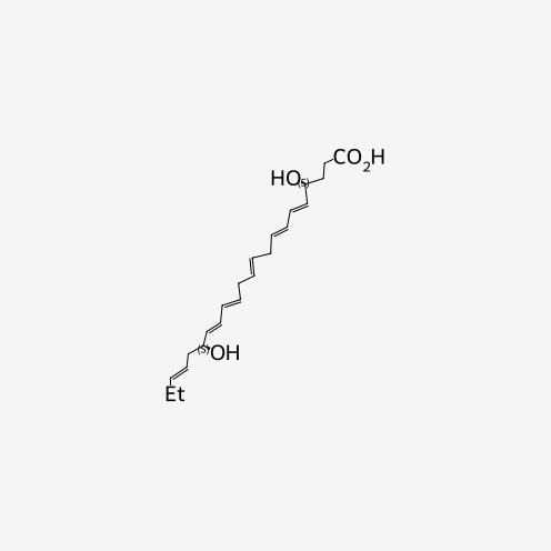 CCC=CC[C@H](O)C=CC=CCC=CCC=CC=C[C@@H](O)CCC(=O)O